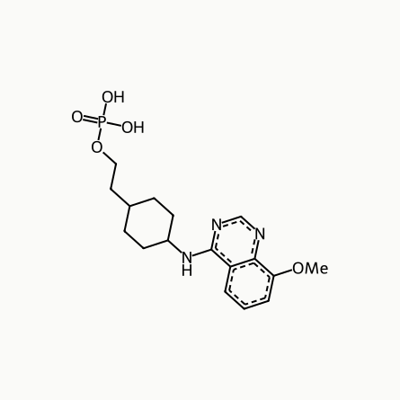 COc1cccc2c(NC3CCC(CCOP(=O)(O)O)CC3)ncnc12